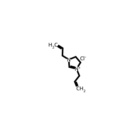 C=CCN1C=[N+](CC=C)CC1.[Cl-]